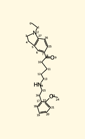 CCN1CCc2cc(C(=O)CCCCNCCc3ccccc3OC)ccc21